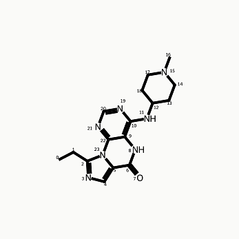 CCc1ncc2c(=O)[nH]c3c(NC4CCN(C)CC4)ncnc3n12